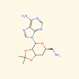 CC1(C)OC2C[C@H](CN)OC(n3cnc4c(N)ncnc43)C2O1